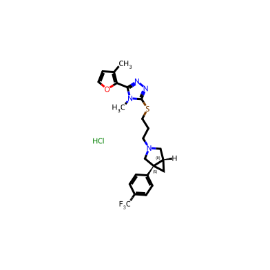 Cc1ccoc1-c1nnc(SCCCN2C[C@@H]3C[C@]3(c3ccc(C(F)(F)F)cc3)C2)n1C.Cl